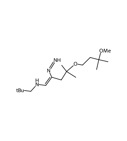 COC(C)(C)CCOC(C)(C)C/C(=C/NCC(C)(C)C)N=N